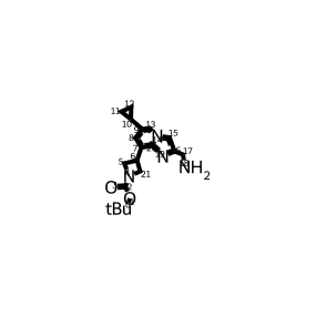 CC(C)(C)OC(=O)N1CC(c2cc(C3CC3)cn3cc(CN)nc23)C1